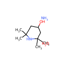 CC1(C)CC(O)CC(C)(C)N1.N.O